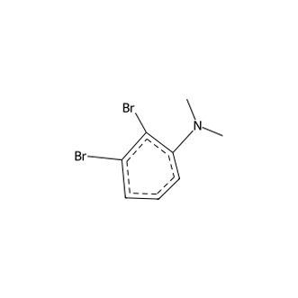 CN(C)c1cccc(Br)c1Br